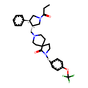 CCC(=O)N1C[C@H](CN2CCC3(CC2)CCN(Cc2ccc(OC(F)(F)F)cc2)C3=O)[C@@H](c2ccccc2)C1